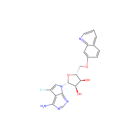 Nc1ncnc2c1c(F)cn2[C@@H]1O[C@H](COc2ccc3cccnc3c2)[C@@H](O)[C@H]1O